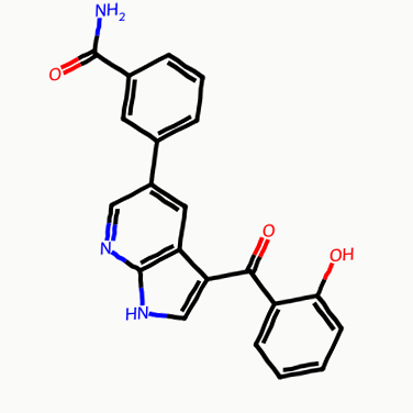 NC(=O)c1cccc(-c2cnc3[nH]cc(C(=O)c4ccccc4O)c3c2)c1